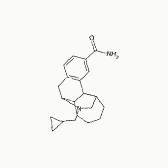 NC(=O)c1ccc2c(c1)C1C3CCCCC1C(C2)N(CC1CC1)C3